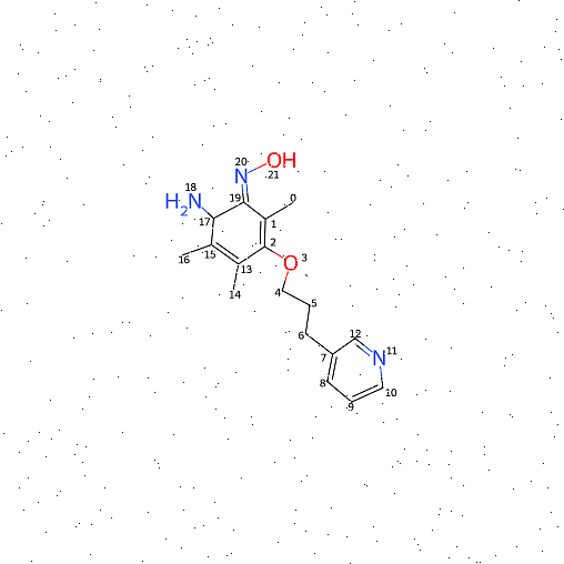 CC1=C(OCCCc2cccnc2)C(C)=C(C)C(N)C1=NO